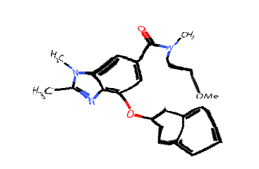 COCCN(C)C(=O)c1cc(OC2Cc3ccccc3C2)c2nc(C)n(C)c2c1